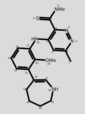 CNC(=O)c1nnc(C)cc1Nc1cccc(C2=CNCCCC2)c1OC